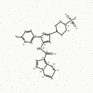 Cc1ccc(-n2nc(C3CCN(S(C)(=O)=O)CC3)cc2NC(=O)c2cnn3cccnc23)cn1